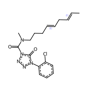 C/C=C/C/C=C/CCCN(C)C(=O)n1nnn(-c2ccccc2Cl)c1=O